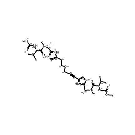 COC(=O)N[C@@H](C(=O)N(C)[C@H](C)c1ncc(C#CCOCCc2cnc([C@@H](C)N(C)C(=O)[C@H](NC(=O)OC)C(C)C)[nH]2)[nH]1)C(C)C